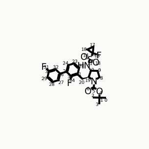 CC(C)(C)OC(=O)N1CC[C@H](NS(=O)(=O)C2(F)CC2)[C@@H]1Cc1cccc(-c2cccc(F)c2)c1F